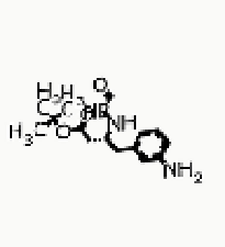 CC(C)(C)OC(=O)C[C@@H](Cc1cccc(N)c1)NBC=O